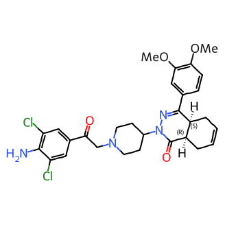 COc1ccc(C2=NN(C3CCN(CC(=O)c4cc(Cl)c(N)c(Cl)c4)CC3)C(=O)[C@@H]3CC=CC[C@H]23)cc1OC